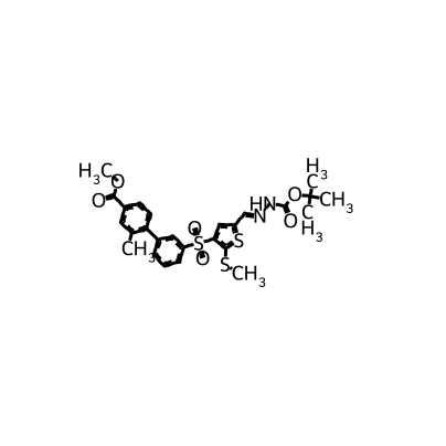 COC(=O)c1ccc(-c2cccc(S(=O)(=O)c3cc(C=NNC(=O)OC(C)(C)C)sc3SC)c2)c(C)c1